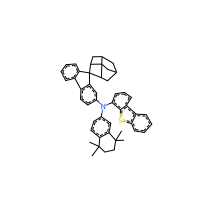 CC1(C)CCC(C)(C)c2cc(N(c3ccc4c(c3)C3(c5ccccc5-4)C4CC5CC6CC3C64C5)c3cccc4c3sc3ccccc34)ccc21